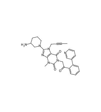 CC#CCn1c(N2CCCC(N)C2)nc2c1c(=O)n(CC(=O)c1ccccc1-c1cccnc1)c(=O)n2C